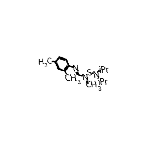 Cc1ccc(N=CN(C)SN(C(C)C)C(C)C)c(C)c1